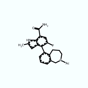 CC(=O)N1CCCc2c(cccc2-c2c(F)cc(C(N)=O)c3[nH]c(C)cc23)C1